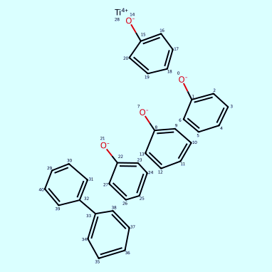 [O-]c1ccccc1.[O-]c1ccccc1.[O-]c1ccccc1.[O-]c1ccccc1.[Ti+4].c1ccc(-c2ccccc2)cc1